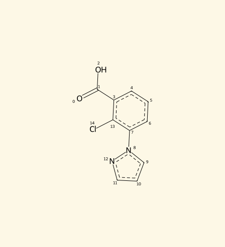 O=C(O)c1cccc(-n2cccn2)c1Cl